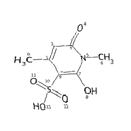 Cc1cc(=O)n(C)c(O)c1S(=O)(=O)O